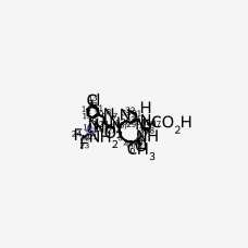 C[C@@H]1CCC[C@H](n2cnc(-c3cc(Cl)ccc3N(N)/C=C(\N)C(F)F)cc2=O)c2cc(ccn2)N2NC(C(=O)O)C=C2NC1=O